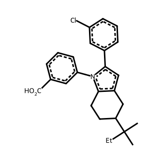 CCC(C)(C)C1CCc2c(cc(-c3cccc(Cl)c3)n2-c2cccc(C(=O)O)c2)C1